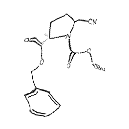 CC(C)(C)OC(=O)N1C(C#N)CC[C@H]1C(=O)OCc1ccccc1